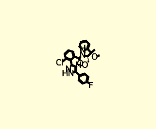 COC(C)(c1ccccn1)[C@H](CO)NC(=O)c1cccc(Cl)c1-c1cc(-c2ccc(F)cc2)[nH]n1